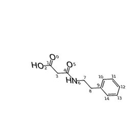 O=C(O)CC(=O)NCCc1ccccc1